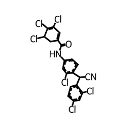 N#CC(c1ccc(Cl)cc1Cl)c1ccc(NC(=O)C2=CC(Cl)=C(Cl)C(Cl)C2)cc1Cl